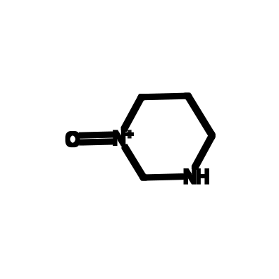 O=[N+]1CCCNC1